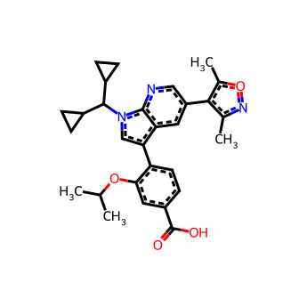 Cc1noc(C)c1-c1cnc2c(c1)c(-c1ccc(C(=O)O)cc1OC(C)C)cn2C(C1CC1)C1CC1